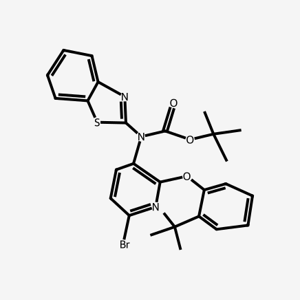 CC(C)(C)OC(=O)N(c1nc2ccccc2s1)c1ccc(Br)nc1Oc1ccccc1C(C)(C)C